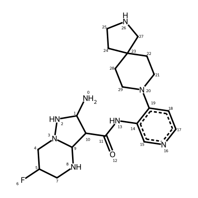 NC1NN2CC(F)CNC2C1C(=O)Nc1cnccc1N1CCC2(CCNC2)CC1